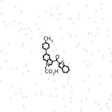 Cc1ccc(-c2ccc3c(c2)c(C(=O)c2cc4ccccc4s2)cn3CC(=O)O)cc1